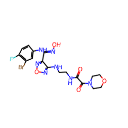 O=C(NCCNc1nonc1/C(=N/O)Nc1ccc(F)c(Br)c1)C(=O)N1CCOCC1